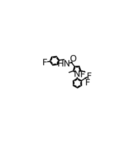 Cc1cc(C(=O)NCc2ccc(F)cc2)c(C)n1-c1ccccc1C(F)(F)F